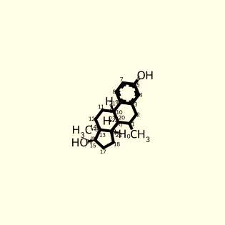 CC1Cc2cc(O)ccc2[C@H]2CC[C@]3(C)[C@H](O)CC[C@H]3[C@H]12